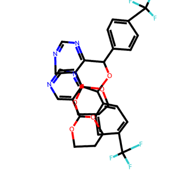 FC(F)(F)c1ccc(C(OC(c2ccc(C(F)(F)F)cc2)c2ncncc2C2OCCCO2)c2ncncc2C2OCCCO2)cc1